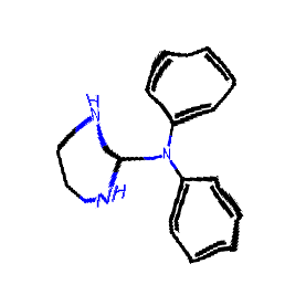 c1ccc(N(c2ccccc2)C2NCCN2)cc1